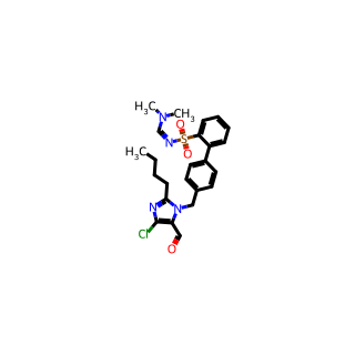 CCCCc1nc(Cl)c(C=O)n1Cc1ccc(-c2ccccc2S(=O)(=O)N=CN(C)C)cc1